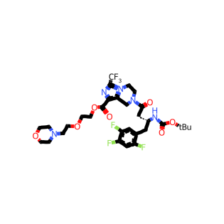 CC(C)(C)OC(=O)N[C@@H](CC(=O)N1CCn2c(C(F)(F)F)nc(C(=O)OCCOCCN3CCOCC3)c2C1)Cc1cc(F)c(F)cc1F